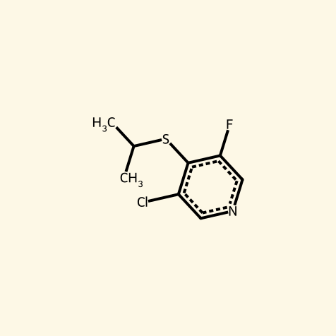 CC(C)Sc1c(F)cncc1Cl